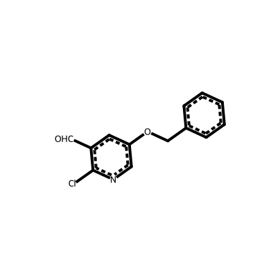 O=Cc1cc(OCc2ccccc2)cnc1Cl